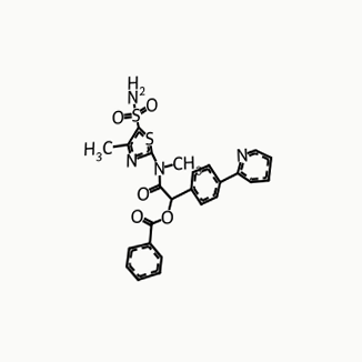 Cc1nc(N(C)C(=O)C(OC(=O)c2ccccc2)c2ccc(-c3ccccn3)cc2)sc1S(N)(=O)=O